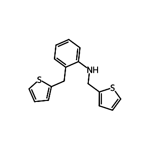 c1csc(CNc2ccccc2Cc2cccs2)c1